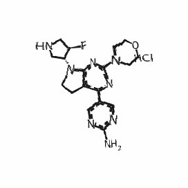 Cl.Nc1ncc(-c2nc(N3CCOCC3)nc3c2CCN3[C@@H]2CNC[C@H]2F)cn1